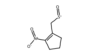 O=[S+]CC1=C([N+](=O)[O-])CCC1